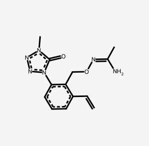 C=Cc1cccc(-n2nnn(C)c2=O)c1CON=C(C)N